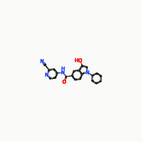 N#Cc1cc(NC(=O)c2ccc3c(c2)c(O)cn3-c2ccccc2)ccn1